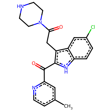 Cc1ccnc(C(=O)c2[nH]c3ccc(Cl)cc3c2CC(=O)N2CCNCC2)c1